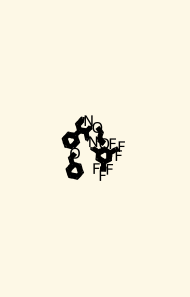 O=C1COc2nccc(-c3cccc(OCc4ccccc4)c3)c2CN1Cc1cc(C(F)(F)F)cc(C(F)(F)F)c1